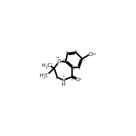 CC1(C)CNC(=O)c2cc(Cl)ccc2O1